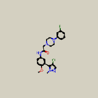 COc1ccc(NC(=O)CN2CCN(c3cccc(F)c3)CC2)cc1-c1c(Cl)cnn1C